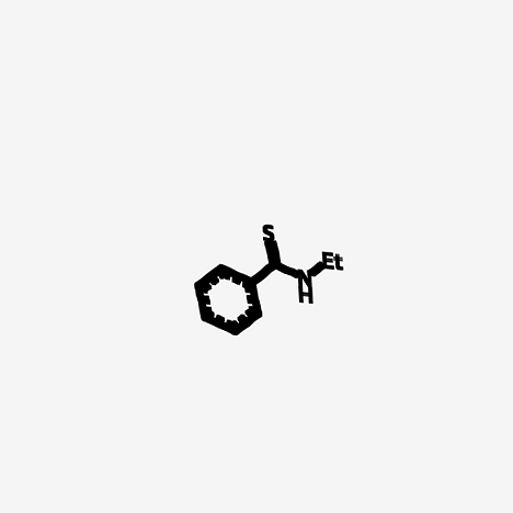 [CH2]CNC(=S)c1ccccc1